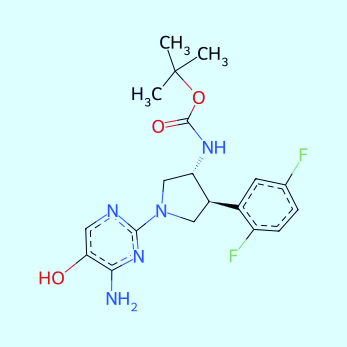 CC(C)(C)OC(=O)N[C@H]1CN(c2ncc(O)c(N)n2)C[C@@H]1c1cc(F)ccc1F